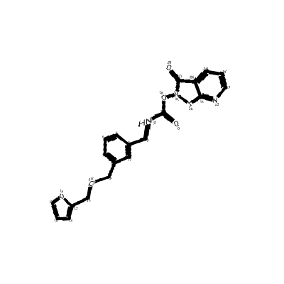 O=C(NCc1cccc(COCc2ccco2)c1)On1sc2ncccc2c1=O